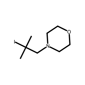 CC(C)(I)CN1CCOCC1